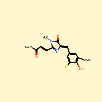 COC(=O)/C=C/C1=NC(=C\c2cc(F)c(O)c(OC)c2)/C(=O)N1C